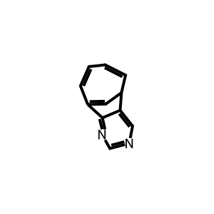 C1=CC2=CC(C=C1)c1cncnc12